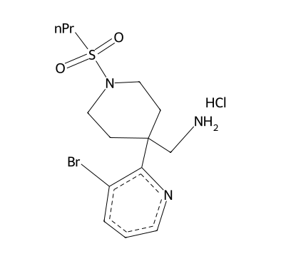 CCCS(=O)(=O)N1CCC(CN)(c2ncccc2Br)CC1.Cl